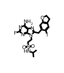 CC(C)NS(=O)(=O)CCn1c(Cc2cc3c(cc2I)CCO3)nc2c(N)nc(F)nc21